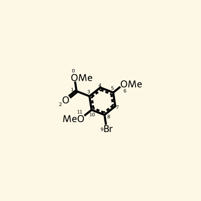 COC(=O)c1cc(OC)cc(Br)c1OC